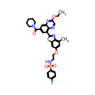 CCOc1cnc2c(-c3nc4c(C)cc(OCCNS(=O)(=O)c5ccc(F)cc5)cc4s3)cc(C(=O)N3CCCCC3)cc2n1